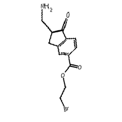 NCC1Cc2cc(C(=O)OCCBr)ccc2C1=O